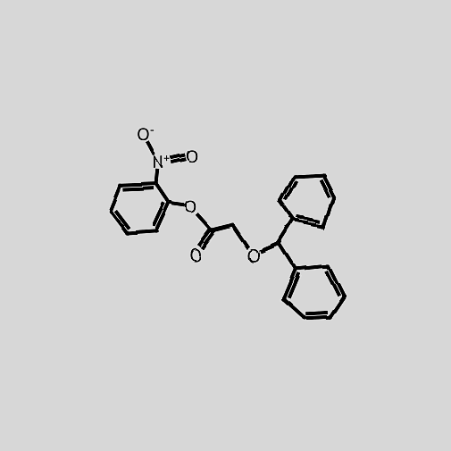 O=C(COC(c1ccccc1)c1ccccc1)Oc1ccccc1[N+](=O)[O-]